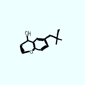 CC(C)(C)Cc1ccc2c(c1)C(O)C=CO2